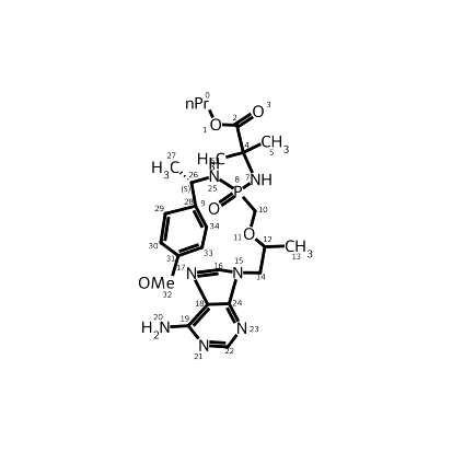 CCCOC(=O)C(C)(C)NP(=O)(COC(C)Cn1cnc2c(N)ncnc21)N[C@@H](C)c1ccc(OC)cc1